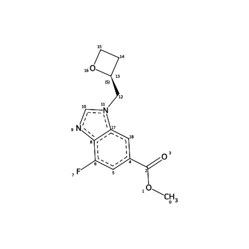 COC(=O)c1cc(F)c2ncn(C[C@@H]3CCO3)c2c1